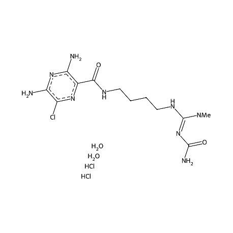 CNC(=NC(N)=O)NCCCCNC(=O)c1nc(Cl)c(N)nc1N.Cl.Cl.O.O